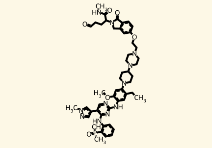 CCc1cc(Nc2ncc(-c3cnn(C)c3)c(Nc3ccccc3P(C)(C)=O)n2)c(OC)cc1N1CCC(N2CCN(CCOc3ccc4c(c3)CN(C(CCC=O)C(=O)NC)C4=O)CC2)CC1